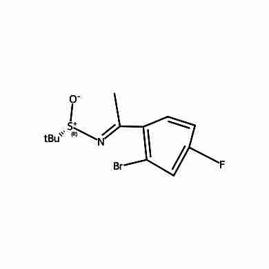 CC(=N[S@@+]([O-])C(C)(C)C)c1ccc(F)cc1Br